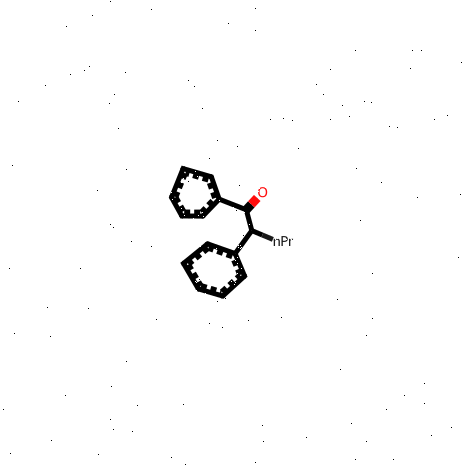 C[CH]CC(C(=O)c1ccccc1)c1ccccc1